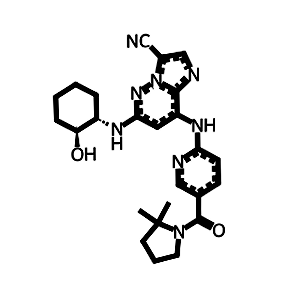 CC1(C)CCCN1C(=O)c1ccc(Nc2cc(N[C@H]3CCCC[C@@H]3O)nn3c(C#N)cnc23)nc1